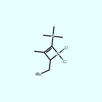 CC1=C([Si](C)(C)C)[Si](Cl)(Cl)C1CC(C)(C)C